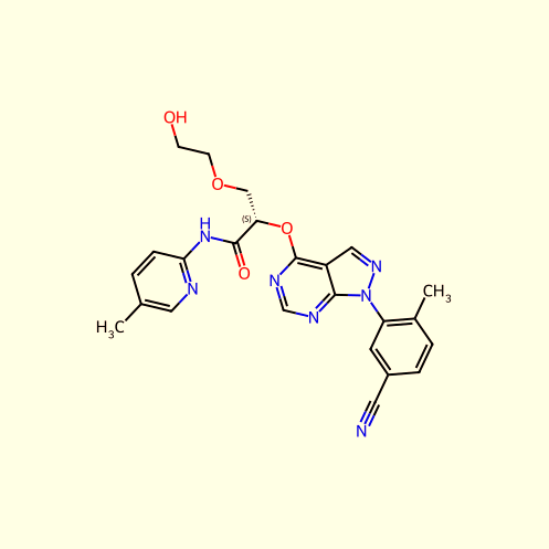 Cc1ccc(NC(=O)[C@H](COCCO)Oc2ncnc3c2cnn3-c2cc(C#N)ccc2C)nc1